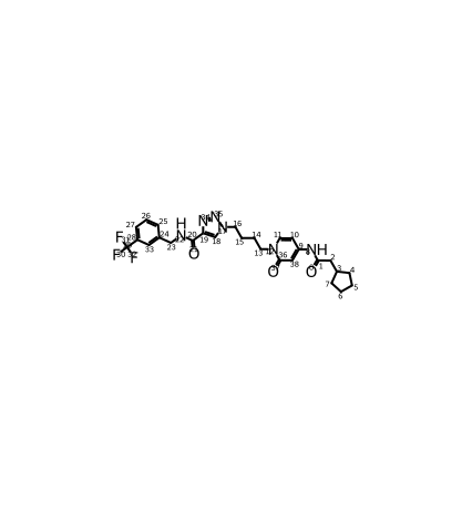 O=C(CC1CCCC1)Nc1ccn(CCCCn2cc(C(=O)NCc3cccc(C(F)(F)F)c3)nn2)c(=O)c1